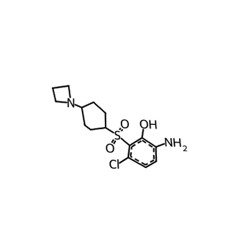 Nc1ccc(Cl)c(S(=O)(=O)C2CCC(N3CCC3)CC2)c1O